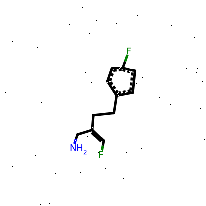 NCC(=CF)CCc1ccc(F)cc1